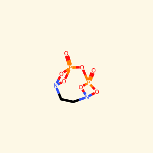 O=P12ON(CCN3OP(=O)(O3)O1)O2